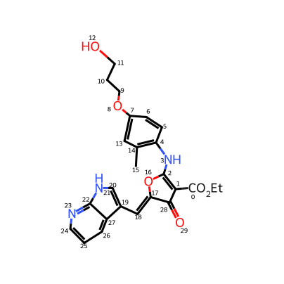 CCOC(=O)C1=C(Nc2ccc(OCCCO)cc2C)O/C(=C\c2c[nH]c3ncccc23)C1=O